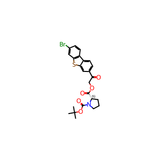 CC(C)(C)OC(=O)N1CCC[C@H]1C(=O)OCC(=O)c1ccc2c(c1)sc1cc(Br)ccc12